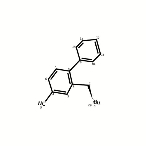 CC[C@H](C)Cc1cc(C#N)ccc1-c1ccccc1